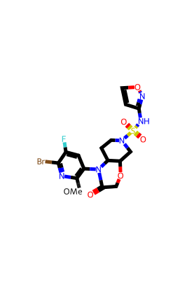 COc1nc(Br)c(F)cc1N1C(=O)COC2CN(S(=O)(=O)Nc3ccon3)CCC21